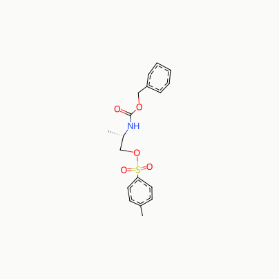 Cc1ccc(S(=O)(=O)OC[C@H](C)NC(=O)OCc2ccccc2)cc1